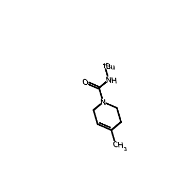 CC1=CCN(C(=O)NC(C)(C)C)CC1